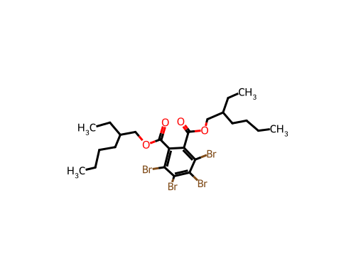 CCCCC(CC)COC(=O)c1c(Br)c(Br)c(Br)c(Br)c1C(=O)OCC(CC)CCCC